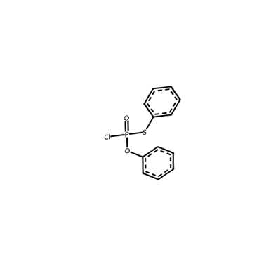 O=P(Cl)(Oc1ccccc1)Sc1ccccc1